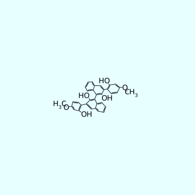 COc1ccc(-c2cc3ccccc3c(-c3c(O)c(-c4ccc(OC)cc4O)cc4ccccc34)c2O)c(O)c1